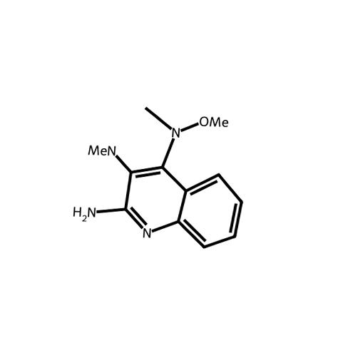 CNc1c(N)nc2ccccc2c1N(C)OC